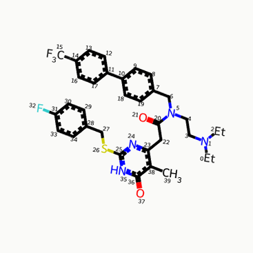 CCN(CC)CCN(Cc1ccc(-c2ccc(C(F)(F)F)cc2)cc1)C(=O)Cc1nc(SCc2ccc(F)cc2)[nH]c(=O)c1C